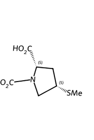 CS[C@H]1C[C@@H](C(=O)O)N(C(=O)O)C1